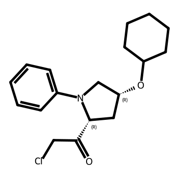 O=C(CCl)[C@H]1C[C@@H](OC2CCCCC2)CN1c1ccccc1